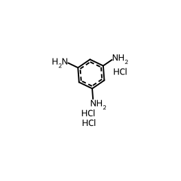 Cl.Cl.Cl.Nc1cc(N)cc(N)c1